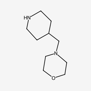 C1CC(CN2CCOCC2)CCN1